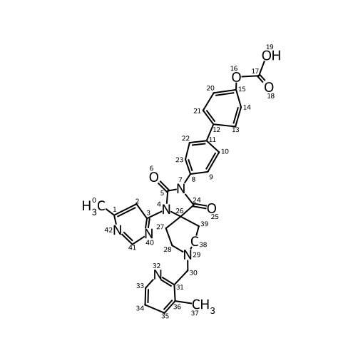 Cc1cc(N2C(=O)N(c3ccc(-c4ccc(OC(=O)O)cc4)cc3)C(=O)C23CCN(Cc2ncccc2C)CC3)ncn1